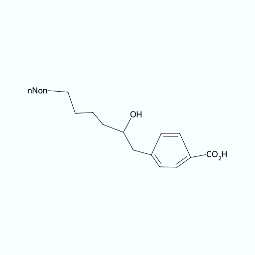 CCCCCCCCCCCCCC(O)Cc1ccc(C(=O)O)cc1